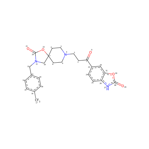 O=C(CCN1CCC2(CC1)CN(Cc1ccc(C(F)(F)F)cc1)C(=O)O2)c1ccc2[nH]c(=O)oc2c1